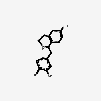 OC1=CCC2=C(CCNC2Cc2ccc(O)c(O)c2)C1